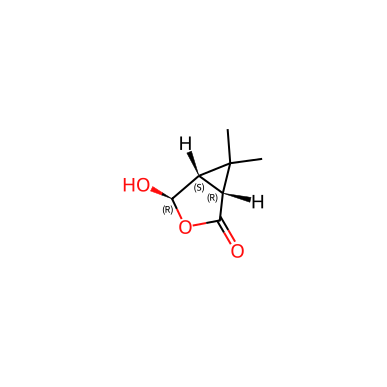 CC1(C)[C@H]2[C@H](O)OC(=O)[C@H]21